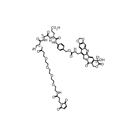 CC[C@@]1(O)C(=O)OCc2c1cc1n(c2=O)Cc2c-1nc1cc3c(cc1c2CNC(=O)OCc1ccc(NC(=O)[C@H](CCC(=O)O)NC(=O)[C@H](C)NC(=O)[C@H](CC(=O)CCOCCOCCOCCOCCNC(=O)CCN2C(=O)C=CC2=O)CC(C)C)cc1)OCO3